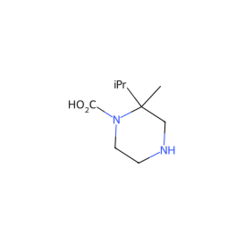 CC(C)C1(C)CNCCN1C(=O)O